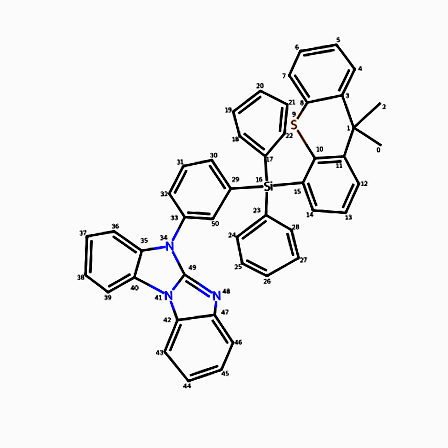 CC1(C)c2ccccc2Sc2c1cccc2[Si](c1ccccc1)(c1ccccc1)c1cccc(-n2c3ccccc3n3c4ccccc4nc23)c1